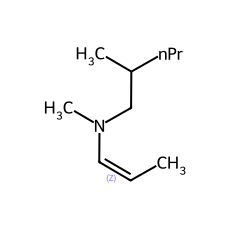 C/C=C\N(C)CC(C)CCC